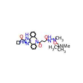 CNC(C)(C)CON(C)CNC(=O)CCC(=O)N1Cc2ccccc2/C(NCC(=O)C2CCC2)=C(/N=N)c2ccccc21